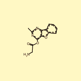 Cc1nc(OC(=O)CN)c2oc3ccccc3c2n1